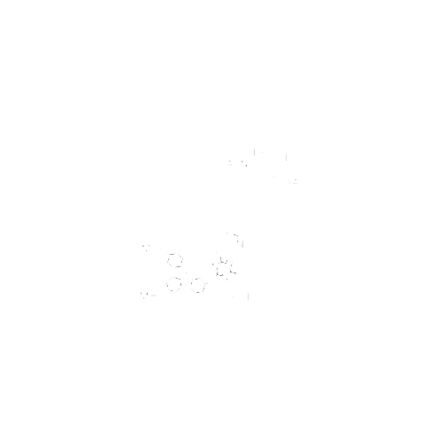 COc1ccc(C(OCCn2c(=O)n(CCO)c(=O)n(CCNC(=O)COCCOCCOC3OC(COC(C)=O)C(C)C(C)C3NC(C)=O)c2=O)(c2ccccc2)c2ccc(OC)cc2)cc1